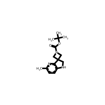 Cc1ccc2c(n1)C1(CN2)CN(C(=O)OC(C)(C)C)C1